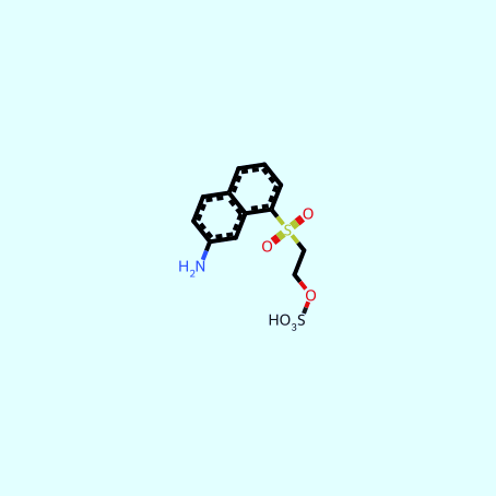 Nc1ccc2cccc(S(=O)(=O)CCOS(=O)(=O)O)c2c1